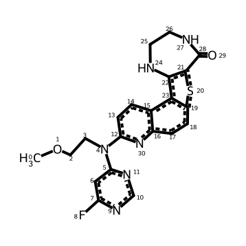 COCCN(c1cc(F)ncn1)c1ccc2c(ccc3sc4c(c32)NCCNC4=O)n1